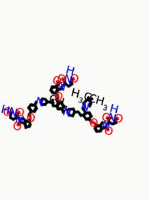 CC(Cc1cc(CN2CCC(CCc3cc(COc4cccc5c4CN(C4CCC(=O)NC4=O)C5=O)ccc3CN3CCC(C)(C)CC3)CC2)ccc1COc1cccc2c1CN(C1CCC(=O)NC1=O)C2=O)C1CCN(Cc2ccc(COc3cccc4c3CN(C3CCC(=O)NC3=O)C4=O)cc2)CC1